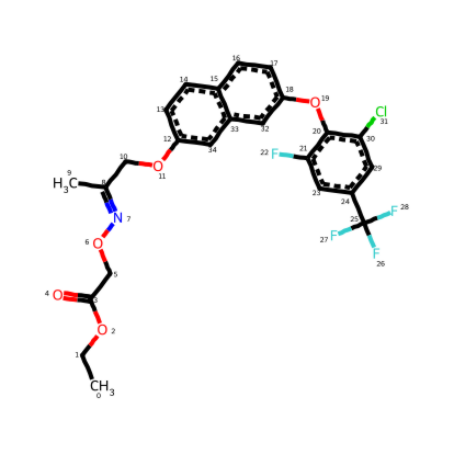 CCOC(=O)CON=C(C)COc1ccc2ccc(Oc3c(F)cc(C(F)(F)F)cc3Cl)cc2c1